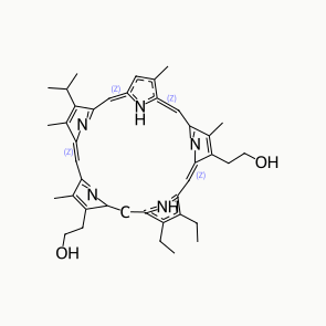 CCc1c2[nH]c(c1CC)CC1N=C(/C=C3N=C(/C=c4/cc(C)/c([nH]4)=C/C4=NC(=C\2)/C(CCO)=C4C)C(C(C)C)=C\3C)C(C)=C1CCO